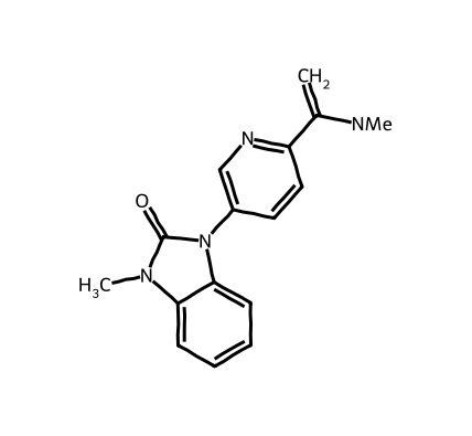 C=C(NC)c1ccc(-n2c(=O)n(C)c3ccccc32)cn1